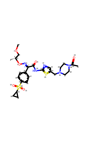 COC[C@@H](C)O/N=C(/C(=O)Nc1ncc(CN2CCN(C(C)=O)CC2)s1)c1ccc(S(=O)(=O)C2CC2)cc1